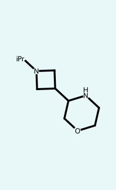 CC(C)N1CC(C2COCCN2)C1